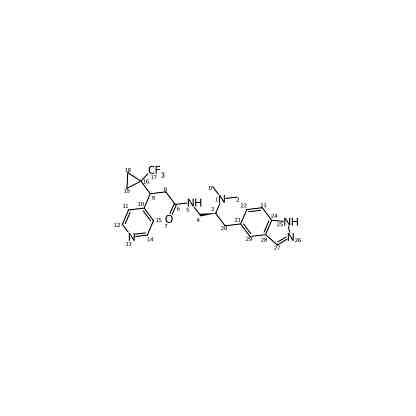 CN(C)[C@H](CNC(=O)CC(c1ccncc1)C1(C(F)(F)F)CC1)Cc1ccc2[nH]ncc2c1